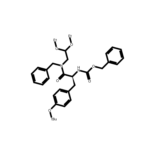 CCOC(CN(Cc1ccccc1)C(=O)[C@H](Cc1ccc(OC(C)(C)C)cc1)NC(=O)OCc1ccccc1)OCC